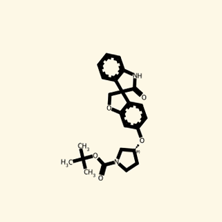 CC(C)(C)OC(=O)N1CC[C@@H](Oc2ccc3c(c2)OCC32C(=O)Nc3ccccc32)C1